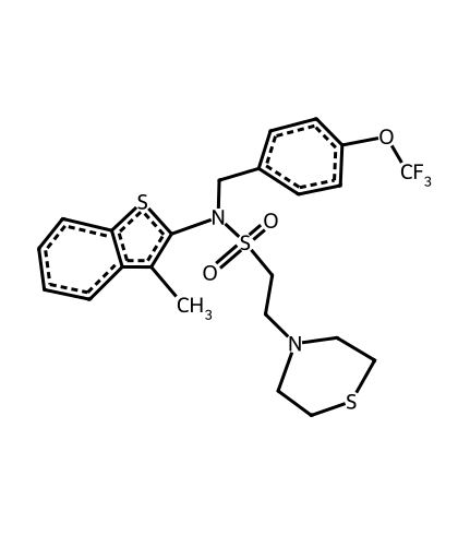 Cc1c(N(Cc2ccc(OC(F)(F)F)cc2)S(=O)(=O)CCN2CCSCC2)sc2ccccc12